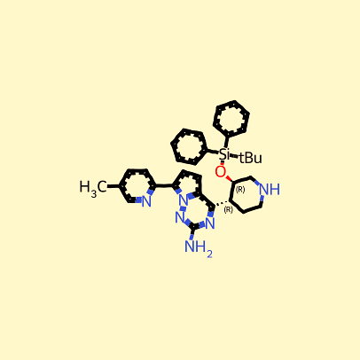 Cc1ccc(-c2ccc3c([C@H]4CCNC[C@@H]4O[Si](c4ccccc4)(c4ccccc4)C(C)(C)C)nc(N)nn23)nc1